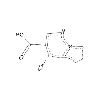 O=C(O)c1cnn2cccc2c1Cl